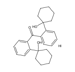 I.O=C(c1ccccc1C1(O)CCCCC1)c1ccccc1C1(O)CCCCC1